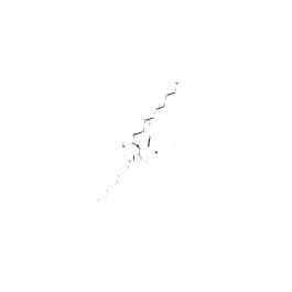 CCCCCCCCOc1c(C(C)(C)C)cc(/C(C)=C/C=C/C(C)=C/C(=O)O)cc1C(C)(C)C